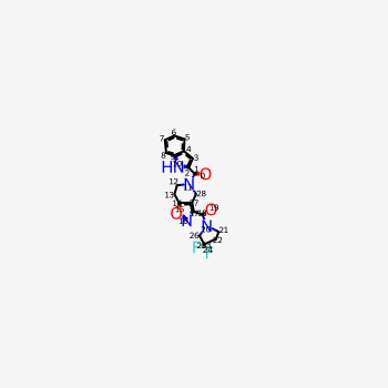 O=C(c1cc2ccccc2[nH]1)N1CCc2onc(C(=O)N3CCC(F)(F)C3)c2C1